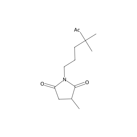 CC(=O)C(C)(C)CCCN1C(=O)CC(C)C1=O